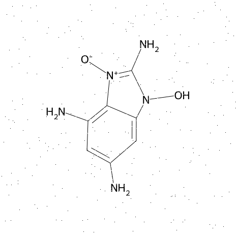 Nc1cc(N)c2c(c1)n(O)c(N)[n+]2[O-]